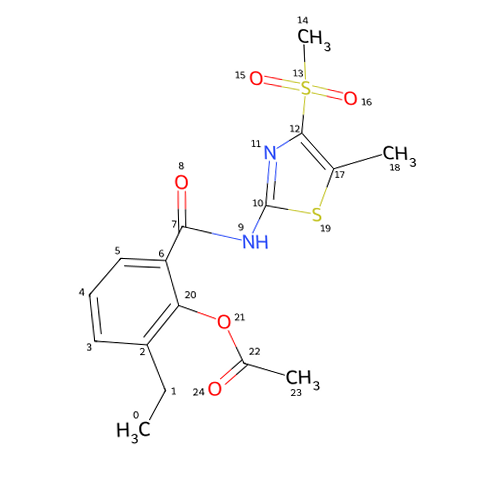 CCc1cccc(C(=O)Nc2nc(S(C)(=O)=O)c(C)s2)c1OC(C)=O